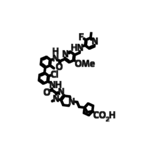 COc1cc(C(=O)Nc2cccc(-c3cccc(NC(=O)c4nc5c(n4C)CCN(CCC46CCC(C(=O)O)(CC4)C6)C5)c3Cl)c2C)ncc1CNc1ccnc(C)c1F